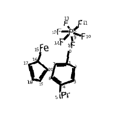 Cc1ccc(C(C)C)cc1.F[P-](F)(F)(F)(F)F.[Fe][CH]1C=CC=C1